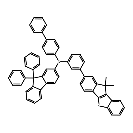 CC1(C)c2cc(-c3cccc(N(c4ccc(-c5ccccc5)cc4)c4ccc5c(c4)C(c4ccccc4)(c4ccccc4)c4ccccc4-5)c3)ccc2-c2sc3ccccc3c21